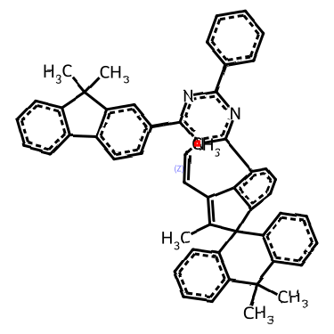 C/C=C\C1=C(C)C2(c3ccccc3C(C)(C)c3ccccc32)c2cccc(-c3nc(-c4ccccc4)nc(-c4ccc5c(c4)C(C)(C)c4ccccc4-5)n3)c21